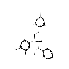 CCO[C@H](C(=O)N(CCc1ccc(C(F)(F)F)cc1)c1ccc(C)c(C)c1)c1ccccc1